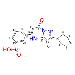 Cc1c(C2CCCCC2)nn2c(=O)cc(-c3cccc(C(=O)O)c3)[nH]c12